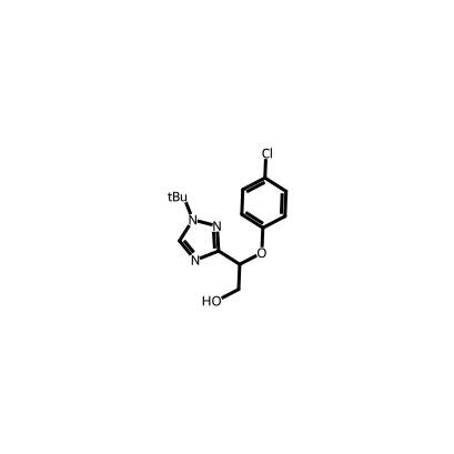 CC(C)(C)n1cnc(C(CO)Oc2ccc(Cl)cc2)n1